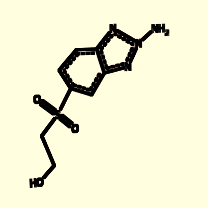 Nn1nc2ccc(S(=O)(=O)CCO)cc2n1